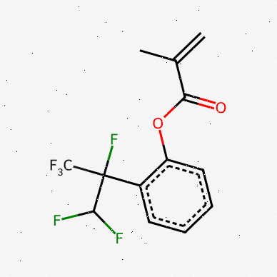 C=C(C)C(=O)Oc1ccccc1C(F)(C(F)F)C(F)(F)F